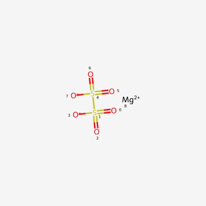 O=S(=O)([O-])S(=O)(=O)[O-].[Mg+2]